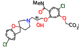 CNC(=O)c1cc(Cl)c(OCC(=O)O)cc1OC[C@H](O)CN1CCC2(CC1)Cc1cc(Cl)ccc1O2